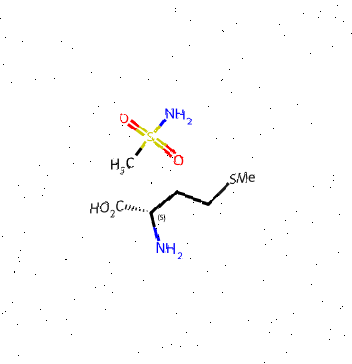 CS(N)(=O)=O.CSCC[C@H](N)C(=O)O